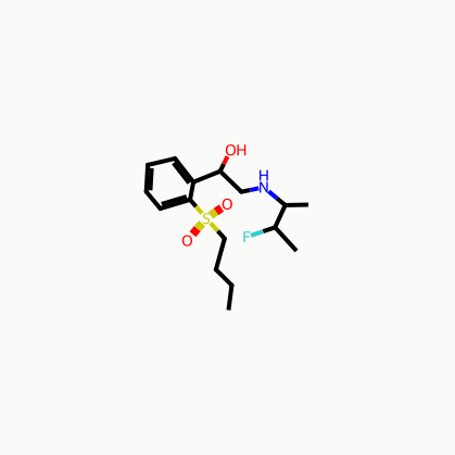 CCCCS(=O)(=O)c1ccccc1C(O)CNC(C)C(C)F